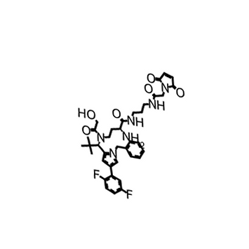 CC(C)(C)[C@H](c1cc(-c2cc(F)ccc2F)cn1Cc1ccccc1)N(CC[C@H](N)C(=O)NCCCNC(=O)CN1C(=O)C=CC1=O)C(=O)CO